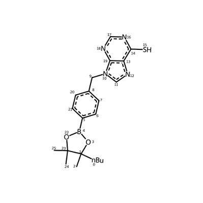 CCCCC1(C)OB(c2ccc(Cn3cnc4c(S)ncnc43)cc2)OC1(C)C